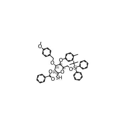 COc1ccc(CO[C@@H]2[C@@H](OC(=O)c3ccccc3)[C@H](S)O[C@H](CO[Si](c3ccccc3)(c3ccccc3)C(C)(C)C)[C@@H]2Oc2ccc(C)cc2)cc1